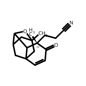 CC12CC3CC4(C=CC(=O)[C@@](C)(CCC#N)C4C3O1)C2